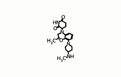 CNC1CCN(c2cccc3c2O[C@@H](C)CN3C2CCC(=O)NC2=O)CC1